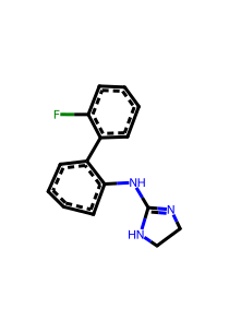 Fc1ccccc1-c1ccccc1NC1=NCCN1